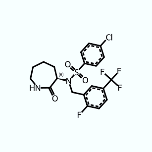 O=C1NCCCC[C@H]1N(Cc1cc(C(F)(F)F)ccc1F)S(=O)(=O)c1ccc(Cl)cc1